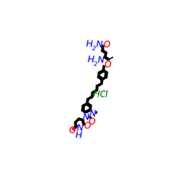 C[C@@H](OCc1ccc(CCCCCCc2ccc3c(c2)n(C)c(=O)n3C2CCC(=O)NC2=O)cc1)[C@@H](N)CCC(N)=O.Cl